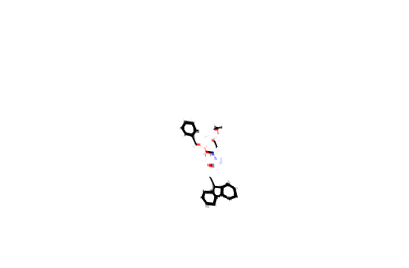 CC(C)(C)OC(=O)C[C@@H](NC(=O)OCC1c2ccccc2-c2ccccc21)C(=O)OCc1ccccc1